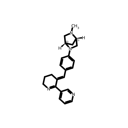 CN1C[C@@H]2C[C@H]1CN2c1ccc(C=C2CCCN=C2c2cccnc2)cc1